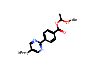 CCCCCc1cnc(-c2ccc(C(=O)OC(C)OCCCC)cc2)nc1